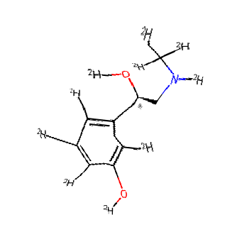 [2H]Oc1c([2H])c([2H])c([2H])c([C@H](CN([2H])C([2H])([2H])[2H])O[2H])c1[2H]